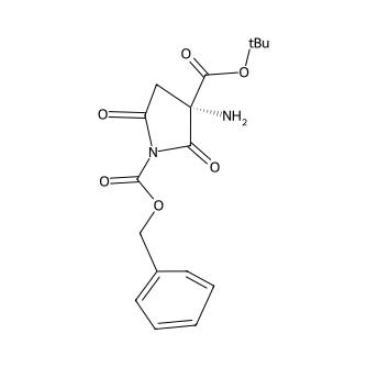 CC(C)(C)OC(=O)[C@]1(N)CC(=O)N(C(=O)OCc2ccccc2)C1=O